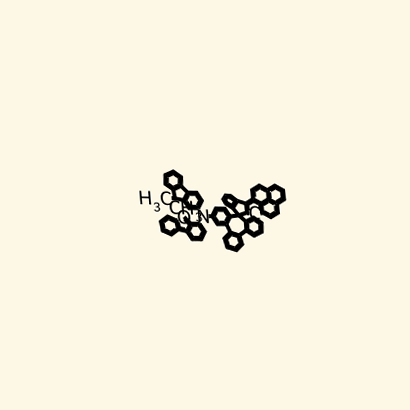 CC1(C)c2ccccc2-c2ccc(N(c3ccc4c(c3)-c3ccccc3-c3ccccc3C43c4ccccc4-c4c3cc3ccc5cccc6ccc4c3c56)c3cccc4c3oc3ccccc34)cc21